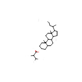 CC(C)C(C(=O)O)C(C(=O)O[C@@H]1CCC2(C)C(CC[C@H]3C2CCC2(C)C(C(C)CCC(=O)O)CCC32)C1)C(C)(C)C